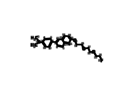 CN(C)c1ccc(-c2ccc3nc(OCCOCCOCCF)ccc3c2)cc1